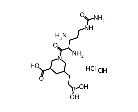 Cl.Cl.NC(=O)NCC[C@@H](N)C(N)C(=O)N1CC(CCB(O)O)CC(C(=O)O)C1